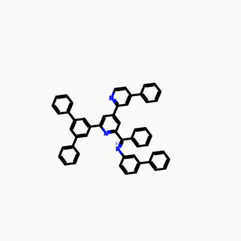 c1ccc(/C(=N\c2cccc(-c3ccccc3)c2)c2cc(-c3cc(-c4ccccc4)ccn3)cc(-c3cc(-c4ccccc4)cc(-c4ccccc4)c3)n2)cc1